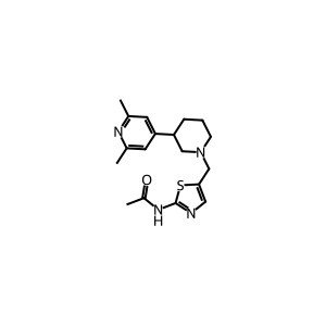 CC(=O)Nc1ncc(CN2CCCC(c3cc(C)nc(C)c3)C2)s1